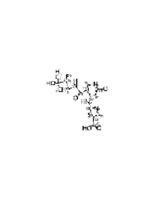 CC(C)(O)[C@H](F)CNC(=O)c1cnc(Cl)cc1Nc1ncc(C(=O)O)s1